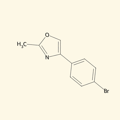 Cc1nc(-c2ccc(Br)cc2)co1